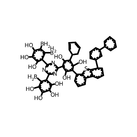 Bc1c(B)c(-c2nc(-c3c(B)c(O)c(O)c(O)c3O)nc(-c3c(O)c(-c4cccc5c4sc4c(-c6cccc(-c7ccccc7)c6)cccc45)c(O)c(C4C=CC=CC4)c3O)n2)c(O)c(O)c1O